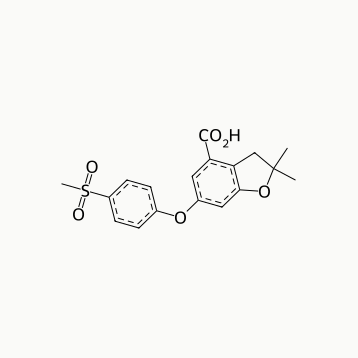 CC1(C)Cc2c(cc(Oc3ccc(S(C)(=O)=O)cc3)cc2C(=O)O)O1